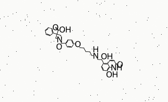 O=C(c1ccc(OCCCCCNC[C@H](O)c2ccc(O)c3[nH]c(=O)ccc23)cc1)N1CC(C(=O)O)(c2ccccc2)C1